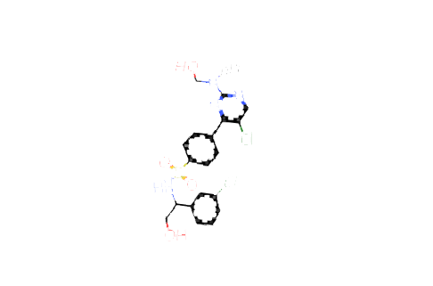 CCCN(CO)c1ncc(Cl)c(-c2ccc(S(=O)(=O)NC(CO)c3cccc(Cl)c3)cc2)n1